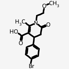 COCCN1C(=O)CC(c2ccc(Br)cc2)C(C(=O)O)=C1C